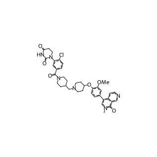 COc1cc(-c2cn(C)c(=O)c3cnccc23)ccc1OC1CCN(CC2CCN(C(=O)c3ccc(Cl)c(N4CCC(=O)NC4=O)c3)CC2)CC1